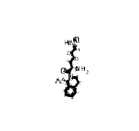 CC(=O)[C@@H]1c2ccccc2CCN1C(=O)[C@@H](N)CCCCNCl